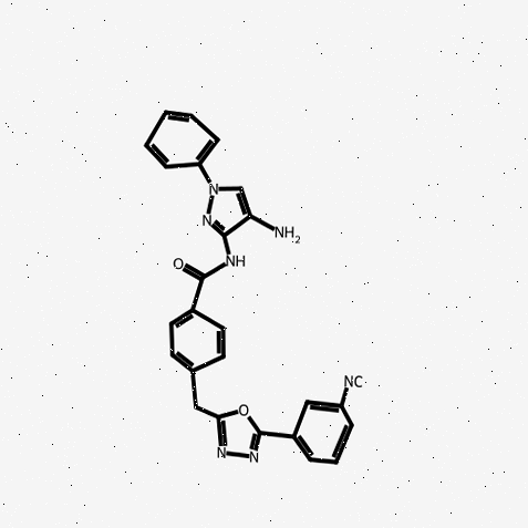 [C-]#[N+]c1cccc(-c2nnc(Cc3ccc(C(=O)Nc4nn(-c5ccccc5)cc4N)cc3)o2)c1